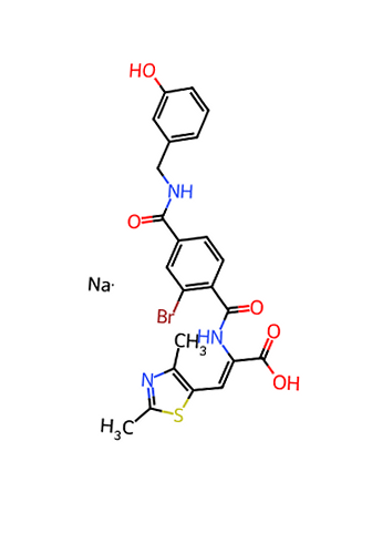 Cc1nc(C)c(C=C(NC(=O)c2ccc(C(=O)NCc3cccc(O)c3)cc2Br)C(=O)O)s1.[Na]